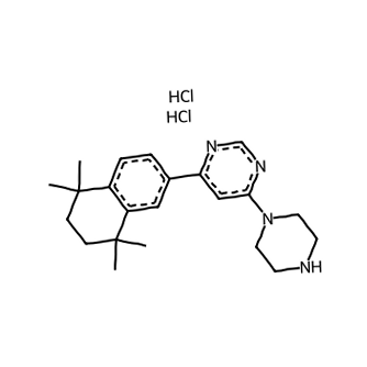 CC1(C)CCC(C)(C)c2cc(-c3cc(N4CCNCC4)ncn3)ccc21.Cl.Cl